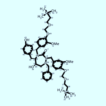 COc1cc(CN2C(=O)N(Cc3ccc(OCOCC[Si](C)(C)C)c(OC)c3)N(Cc3ccccc3)C[C@@H](O)[C@H]2Cc2ccc(O)cc2)ccc1OCOCC[Si](C)(C)C